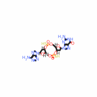 Nc1nc2c(ncn2[C@H]2C[C@@H]3OP(=O)(S)OC[C@H]4O[C@@H](n5cnc6c(N)ncnc65)C[C@@H]4OP(=O)(S)OC[C@H]3O2)c(=O)[nH]1